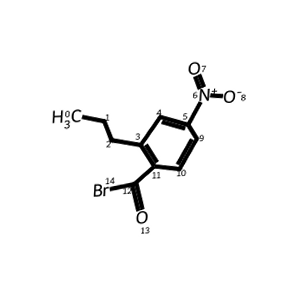 CCCc1cc([N+](=O)[O-])ccc1C(=O)Br